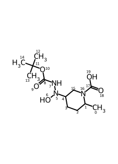 CC1CCC(N(O)NC(=O)OC(C)(C)C)CN1C(=O)O